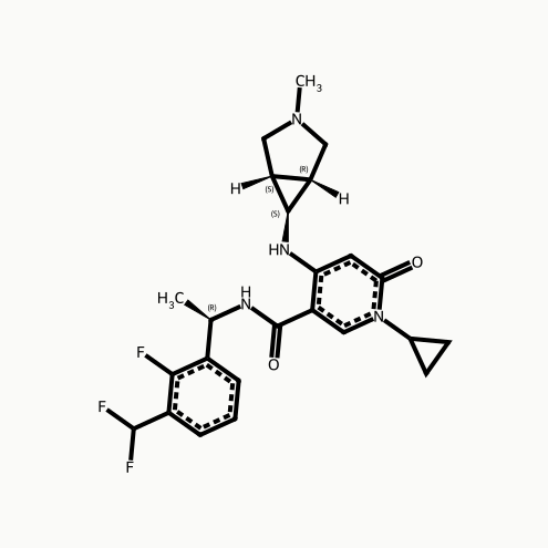 C[C@@H](NC(=O)c1cn(C2CC2)c(=O)cc1N[C@H]1[C@@H]2CN(C)C[C@@H]21)c1cccc(C(F)F)c1F